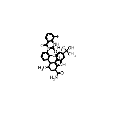 Cc1c(C2c3c([nH]c4cc(C(C)(C)O)ccc34)C(C(N)=O)CC2C)cccc1-n1c(=O)[nH]c2c(F)cccc2c1=O